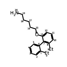 CCc1ccccc1-c1c(CC)cccc1OCCCCCN